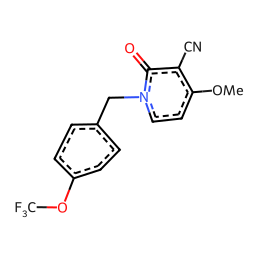 COc1ccn(Cc2ccc(OC(F)(F)F)cc2)c(=O)c1C#N